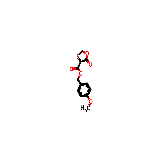 COc1ccc(COC(=O)C2SCOC2=O)cc1